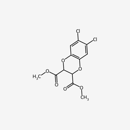 COC(=O)C1Oc2cc(Cl)c(Cl)cc2OC1C(=O)OC